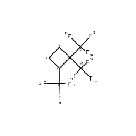 FC(F)(F)C1CCC1(C(F)(F)F)C(F)(F)F